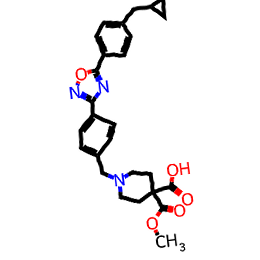 COC(=O)C1(C(=O)O)CCN(Cc2ccc(-c3noc(-c4ccc(CC5CC5)cc4)n3)cc2)CC1